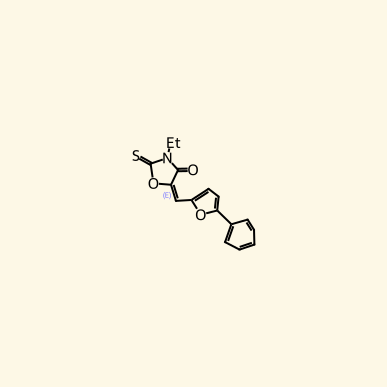 CCN1C(=O)/C(=C\c2ccc(-c3ccccc3)o2)OC1=S